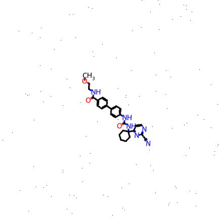 COCCNC(=O)c1ccc(-c2ccc(NC(=O)NC3(c4ccnc(C#N)n4)CCCCC3)cc2)cc1